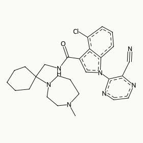 CN1CCCN(C2(CNC(=O)c3cn(-c4nccnc4C#N)c4cccc(Cl)c34)CCCCC2)CC1